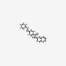 O=C(Nc1ccc2ccncc2c1)c1ccc(OCc2ccccc2)cc1